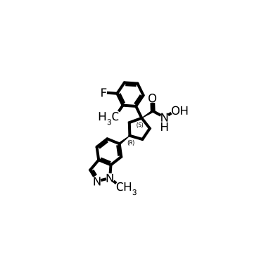 Cc1c(F)cccc1[C@]1(C(=O)NO)CC[C@@H](c2ccc3cnn(C)c3c2)C1